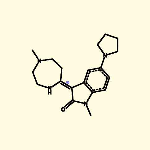 CN1CCN/C(=C2\C(=O)N(C)c3ccc(N4CCCC4)cc32)CC1